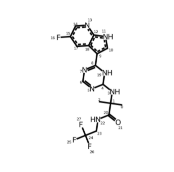 CC(C)(NC1N=CN=C(c2c[nH]c3ncc(F)cc23)N1)C(=O)NCC(F)(F)F